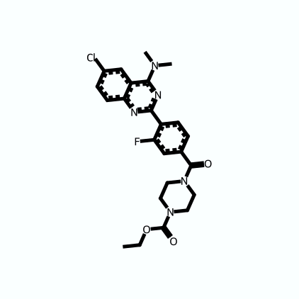 CCOC(=O)N1CCN(C(=O)c2ccc(-c3nc(N(C)C)c4cc(Cl)ccc4n3)c(F)c2)CC1